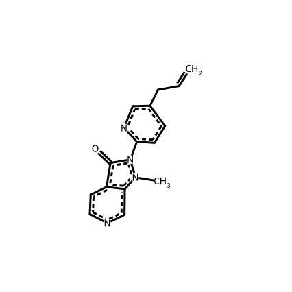 C=CCc1ccc(-n2c(=O)c3ccncc3n2C)nc1